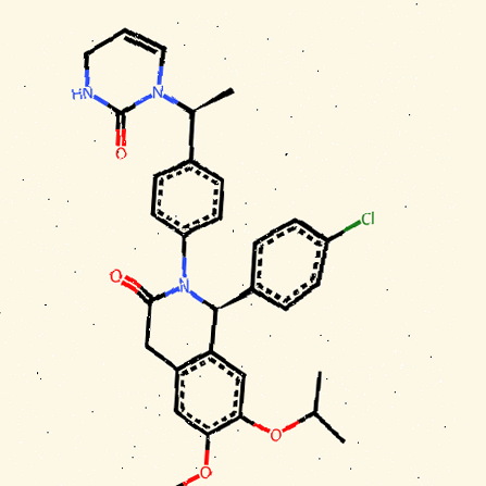 COc1cc2c(cc1OC(C)C)[C@H](c1ccc(Cl)cc1)N(c1ccc([C@H](C)N3C=CCNC3=O)cc1)C(=O)C2